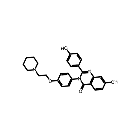 O=c1c2ccc(O)cc2nc(-c2ccc(O)cc2)n1-c1ccc(OCCN2CCCCC2)cc1